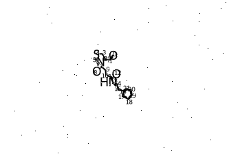 O=C[C@@H]1CSCN1C(=O)CCC(=O)NCCc1ccccc1